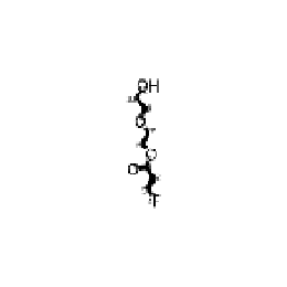 O=C(C=CF)OCCOCCO